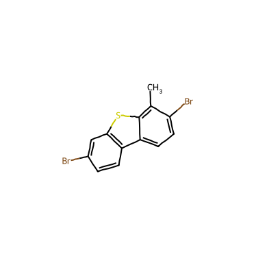 Cc1c(Br)ccc2c1sc1cc(Br)ccc12